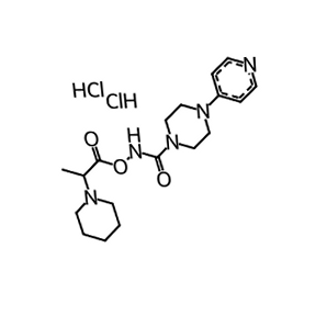 CC(C(=O)ONC(=O)N1CCN(c2ccncc2)CC1)N1CCCCC1.Cl.Cl